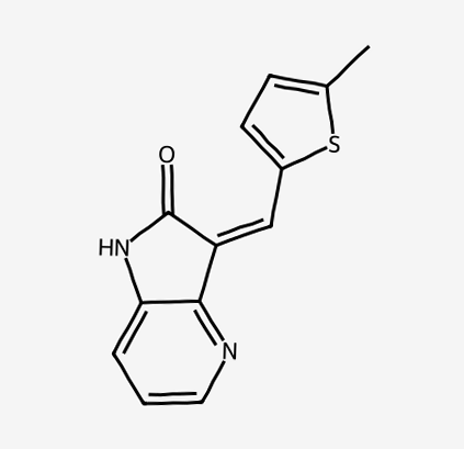 Cc1ccc(C=C2C(=O)Nc3cccnc32)s1